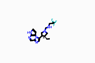 CC[C@@H]1CN(CNCC(F)(F)F)CC1c1cnc2cnc3[nH]ccc3n12